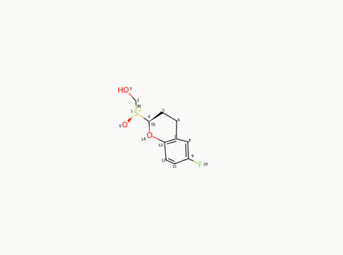 [O-][S@@+](CO)[C@H]1CCc2cc(F)ccc2O1